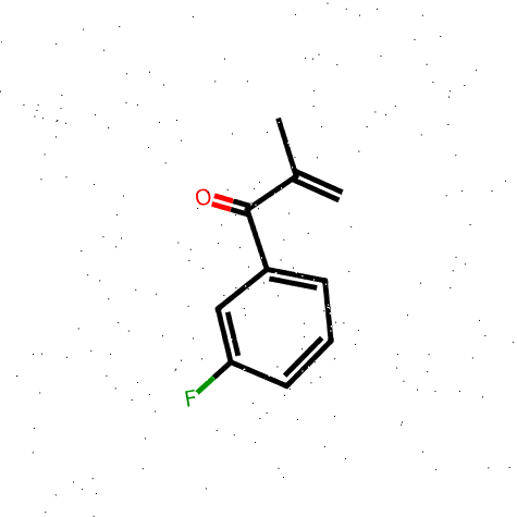 C=C(C)C(=O)c1cccc(F)c1